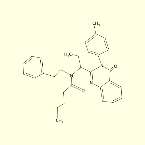 CCCCC(=O)N(CCc1ccccc1)C(CC)c1nc2ccccc2c(=O)n1-c1ccc(C)cc1